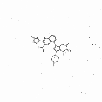 C[C@H]1C(=O)N(C)Cc2c(-c3cccc4nc(-c5cnn(C)c5)c(C(F)F)cc34)nc(C3CCNCC3)n21